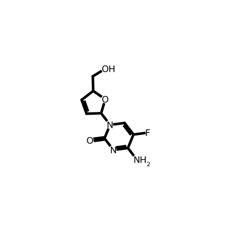 Nc1nc(=O)n(C2C=CC(CO)O2)cc1F